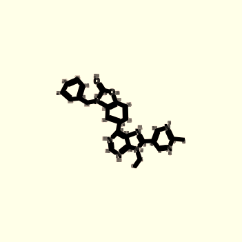 CCn1c(-c2cnc(C)nc2)nc2c(-c3ccc4oc(=O)n(Cc5ccccc5)c4c3)ncnc21